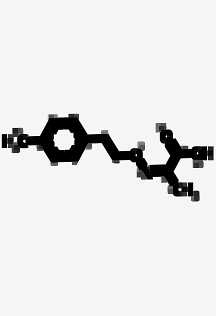 CC(=NOCCc1ccc(C)cc1)C(=O)O